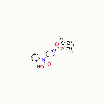 CC(C)(C)OC(=O)N1CCC(N(C(=O)O)c2ccccc2)CC1